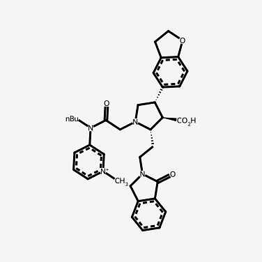 CCCCN(C(=O)CN1C[C@H](c2ccc3c(c2)CCO3)[C@@H](C(=O)O)[C@@H]1CCN1Cc2ccccc2C1=O)c1ccc[n+](C)c1